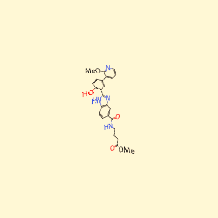 COC(=O)CCCNC(=O)c1ccc2[nH]c(-c3cc(-c4cccnc4OC)ccc3O)nc2c1